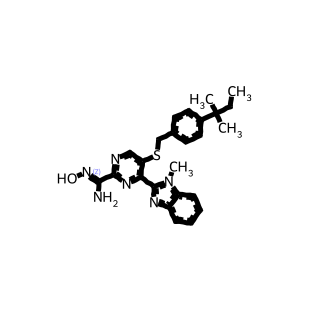 CCC(C)(C)c1ccc(CSc2cnc(/C(N)=N/O)nc2-c2nc3ccccc3n2C)cc1